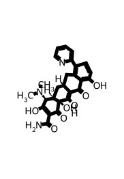 CN(C)[C@@H]1C(O)=C(C(N)=O)C(=O)[C@@]2(O)C(O)=C3C(=O)c4c(O)ccc(-c5ccccn5)c4C[C@@H]3C[C@H]12